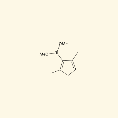 C[O][Ti]([O]C)[C]1=C(C)CC=C1C